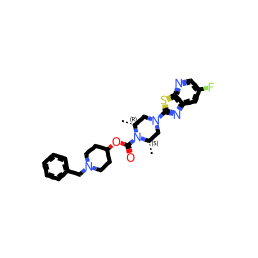 C[C@@H]1CN(c2nc3cc(F)cnc3s2)C[C@H](C)N1C(=O)OC1CCN(Cc2ccccc2)CC1